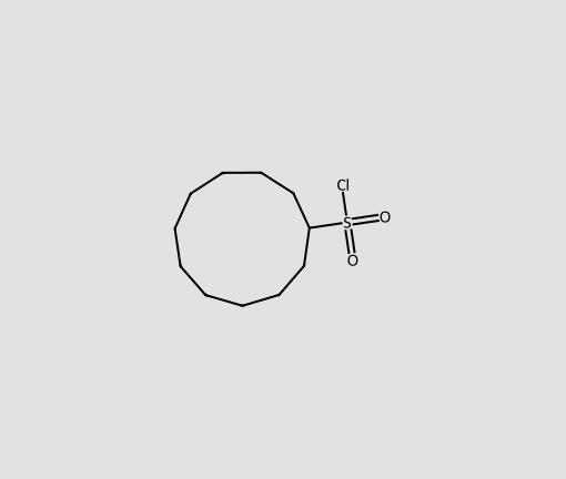 O=S(=O)(Cl)C1CCCCCCCCCC1